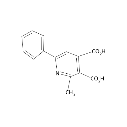 Cc1nc(-c2ccccc2)cc(C(=O)O)c1C(=O)O